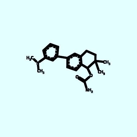 CN(C)c1cccc(-c2ccc3c(c2)CCC(C)(C)C3OC(N)=O)c1